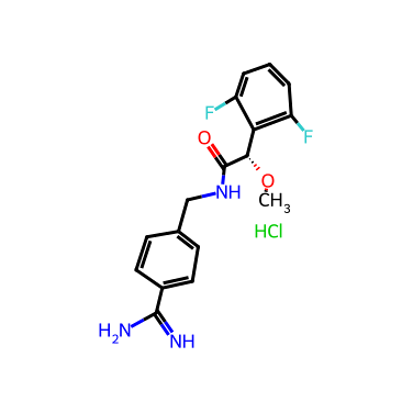 CO[C@H](C(=O)NCc1ccc(C(=N)N)cc1)c1c(F)cccc1F.Cl